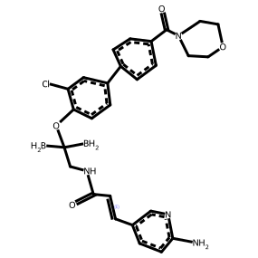 BC(B)(CNC(=O)/C=C/c1ccc(N)nc1)Oc1ccc(-c2ccc(C(=O)N3CCOCC3)cc2)cc1Cl